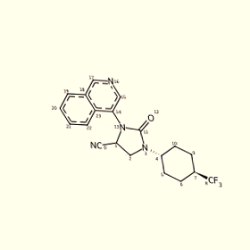 N#CC1CN([C@H]2CC[C@H](C(F)(F)F)CC2)C(=O)N1c1cncc2ccccc12